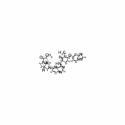 C=CC(=O)N1CC[C@@H]2CN(c3ccc4ncnc(Nc5ccc(Oc6ccn7ncnc7c6)c(C)c5F)c4n3)C[C@@H]21